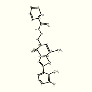 Cc1c(Br)cccc1-c1cc2c(=N)n(CCOC(=O)c3ccccc3)cc(C)c2o1